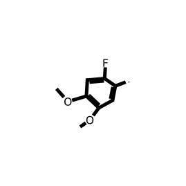 [CH2]c1cc(OC)c(OC)cc1F